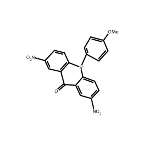 COc1ccc(-[s+]2c3ccc([N+](=O)[O-])cc3c(=O)c3cc([N+](=O)[O-])ccc32)cc1